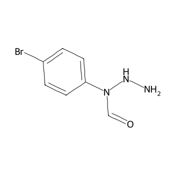 NNN(C=O)c1ccc(Br)cc1